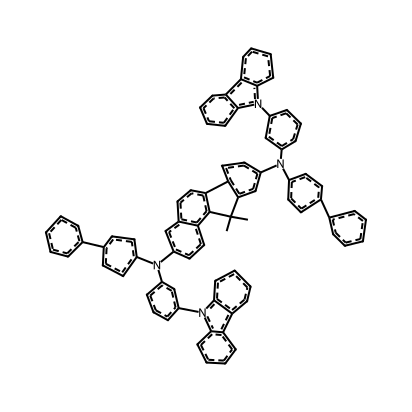 CC1(C)c2cc(N(c3ccc(-c4ccccc4)cc3)c3cccc(-n4c5ccccc5c5ccccc54)c3)ccc2-c2ccc3cc(N(c4ccc(-c5ccccc5)cc4)c4cccc(-n5c6ccccc6c6ccccc65)c4)ccc3c21